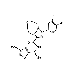 Cc1noc([C@@H](NC(=O)c2nc(-c3ccc(F)c(F)c3)n3c2CCOCC3)C(C)(C)C)n1